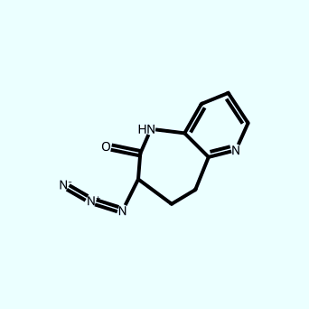 [N-]=[N+]=NC1CCc2ncccc2NC1=O